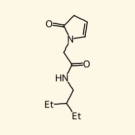 CCC(CC)CNC(=O)CN1C=CCC1=O